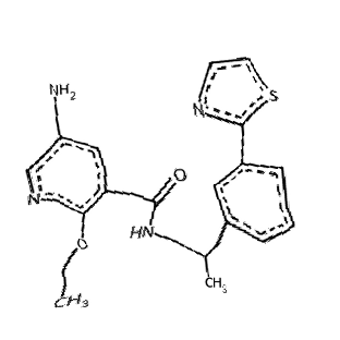 CCOc1ncc(N)cc1C(=O)NC(C)c1cccc(-c2nccs2)c1